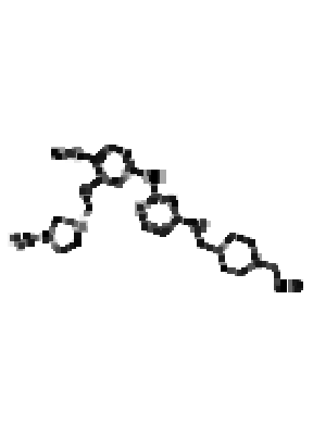 COc1ccc(Nc2nccc(NCC3CCN(CC=O)CC3)n2)cc1OC[C@@H]1CCN(C)C1